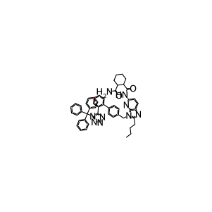 CCCCc1nc2ccc(NC(=O)C3CCCCC3C(N)=O)nc2n1Cc1ccc(-c2ccccc2-c2nnnn2C(c2ccccc2)(c2ccccc2)c2ccccc2)cc1